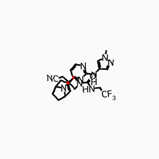 Cn1cc(Nc2nccc(C3=CC4CCC(C3)N4C3(CC#N)CN(C(=O)NCC(F)(F)F)C3)n2)cn1